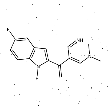 C=C(/C(C=N)=C/N(C)C)c1cc2cc(F)ccc2n1F